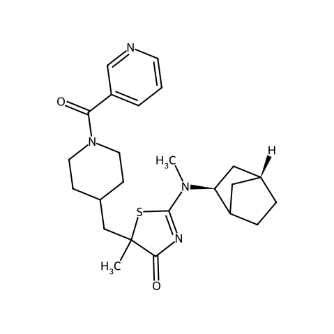 CN(C1=NC(=O)C(C)(CC2CCN(C(=O)c3cccnc3)CC2)S1)[C@H]1C[C@@H]2CCC1C2